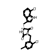 Cc1ccc(Cl)c(CN2C(=O)N[C@H](Cc3c[nH]c4c(Cl)cccc34)C2=O)c1